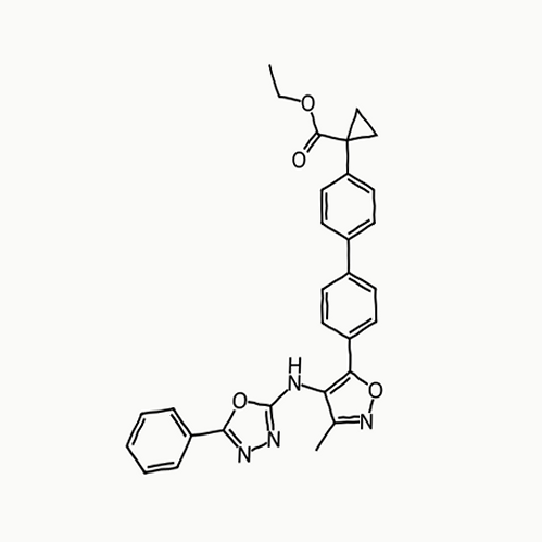 CCOC(=O)C1(c2ccc(-c3ccc(-c4onc(C)c4Nc4nnc(-c5ccccc5)o4)cc3)cc2)CC1